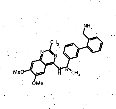 COc1cc2nc(C)nc(N[C@H](C)c3cccc(-c4ccccc4CN)c3)c2cc1OC